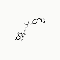 COc1cc(C)cc(Br)c1S(=O)(=O)N(C)CCOCC(=O)N(C)C[C@H]1CC[C@H](CN2CCCC2)CC1